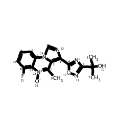 Cc1c2c(-c3nc(C(C)(C)O)no3)ncn2c2cccc(F)c2[n+]1[O-]